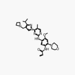 C=CC(=O)Nc1cc(Nc2ncc(C)c(-n3cc(CN4CCC4)c(C(C)C)n3)n2)c(OC)cc1N1CCOCC1